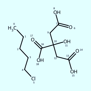 CCCCCCl.O=C(O)CC(O)(CC(=O)O)C(=O)O